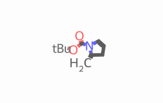 C=C1CC=CN1C(=O)OC(C)(C)C